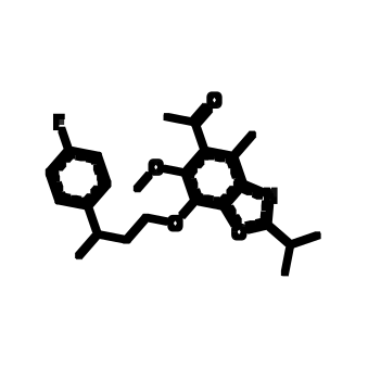 COc1c(C(C)=O)c(C)c2nc(C(C)C)oc2c1OCCC(C)c1ccc(F)cc1